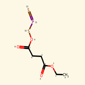 CCOC(=O)CCC(=O)OSP=S